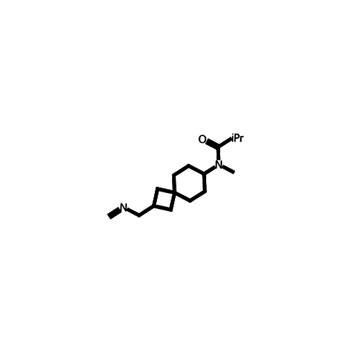 C=NCC1CC2(CCC(N(C)C(=O)C(C)C)CC2)C1